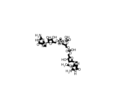 C=C(O)[C@H]1C(n2cnc3c(=O)[nH]c(N)nc32)OC(COP(=O)(O)OCC(COP(=O)(O)OCC2O[C@@H](n3cnc4c(=O)[nH]c(N)nc43)C(O)C2O)OP(=O)(O)O)[C@H]1O